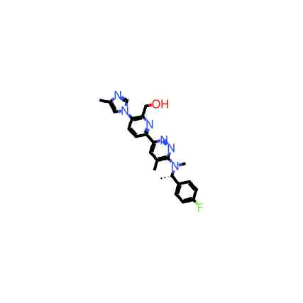 Cc1cn(-c2ccc(-c3cc(C)c(N(C)[C@@H](C)c4ccc(F)cc4)nn3)nc2CO)cn1